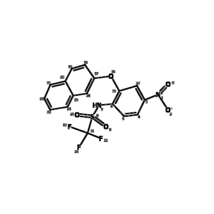 O=[N+]([O-])c1ccc(NS(=O)(=O)C(F)(F)F)c(Oc2ccc3ccccc3c2)c1